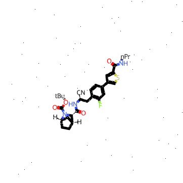 CCCNC(=O)c1cc(-c2ccc(C[C@@H](C#N)NC(=O)[C@@H]3[C@H]4CC[C@H](C4)N3C(=O)OC(C)(C)C)c(F)c2)cs1